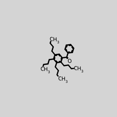 CCCCc1cc(C(=O)c2ccccc2)c(CCCC)c(CCCC)c1CCCC